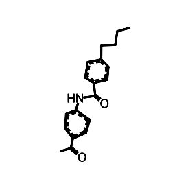 CCCCc1ccc(C(=O)Nc2ccc(C(C)=O)cc2)cc1